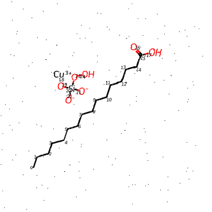 CCCCCCCCCCCCCCCC(=O)O.[Cu+3].[O-][Si]([O-])([O-])OO